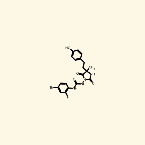 CC1(CCc2ccc(O)cc2)NC(=O)N(NC(=O)Nc2ccc(Br)cc2F)C1=O